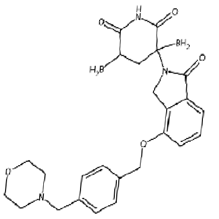 BC1CC(B)(N2Cc3c(OCc4ccc(CN5CCOCC5)cc4)cccc3C2=O)C(=O)NC1=O